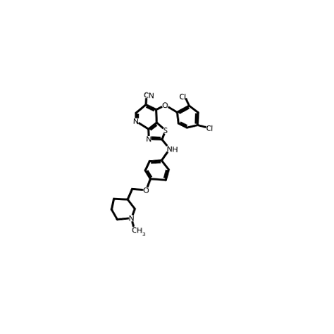 CN1CCCC(COc2ccc(Nc3nc4ncc(C#N)c(Oc5ccc(Cl)cc5Cl)c4s3)cc2)C1